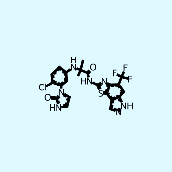 CC(C)(Nc1ccc(Cl)c(-n2cc[nH]c2=O)c1)C(=O)Nc1nc2c(C(F)(F)F)cc3[nH]ncc3c2s1